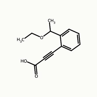 CCOC(C)c1ccccc1C#CC(=O)O